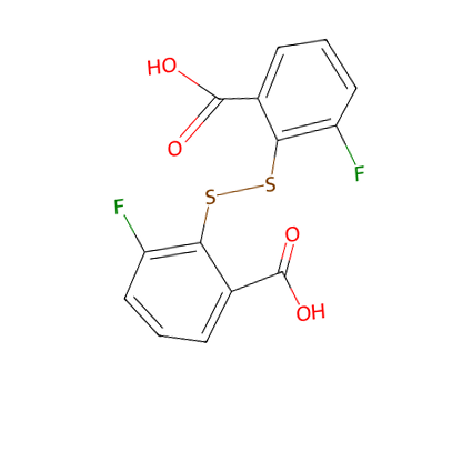 O=C(O)c1cccc(F)c1SSc1c(F)cccc1C(=O)O